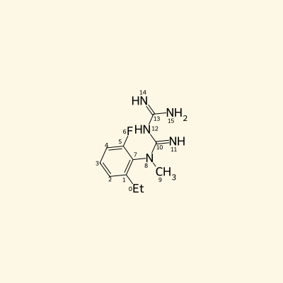 CCc1cccc(F)c1N(C)C(=N)NC(=N)N